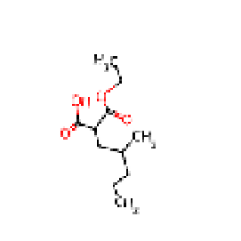 CCCC(C)CC(C(=O)O)C(=O)OCC